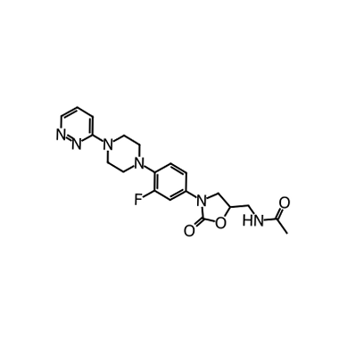 CC(=O)NCC1CN(c2ccc(N3CCN(c4cccnn4)CC3)c(F)c2)C(=O)O1